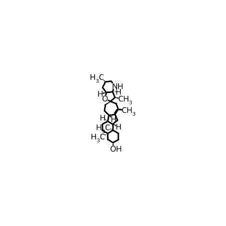 CC1=C2C[C@H]3[C@@H](CC[C@]4(C)C[C@H](O)CC[C@]34C)[C@@H]2CC[C@@]2(C1)O[C@@H]1C[C@H](C)CN[C@H]1[C@H]2C